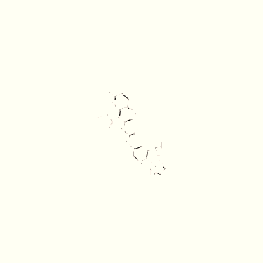 CO[C@H](C)c1c(NC(=O)Nc2cnc(-n3nccn3)c(C(F)(F)F)c2)cnc2ccc(Cl)nc12